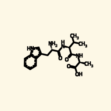 CC(C)[C@H](NC(=O)[C@@H](N)Cc1c[nH]c2ccccc12)C(=O)N[C@@H](C)C(=O)O